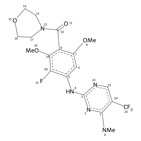 CNc1nc(Nc2cc(OC)c(C(=O)N3CCOCC3)c(OC)c2F)ncc1C(F)(F)F